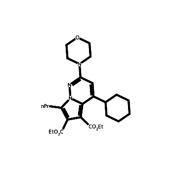 CCCc1c(C(=O)OCC)c(C(=O)OCC)c2c(C3CCCCC3)cc(N3CCOCC3)nn12